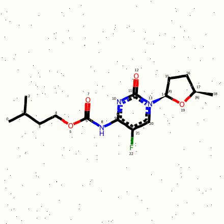 CC(C)CCOC(=O)Nc1nc(=O)n([C@H]2CC[C@@H](C)O2)cc1F